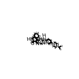 CC(C)N1CCN(c2ccc(Nc3ncn4nc5c(c4n3)C3(CCCCC3)CNC5=O)nc2)CC1